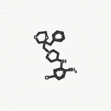 Nc1ccc(Cl)cc1NC1CCN(CC2(Cc3ccccc3)COCCO2)CC1